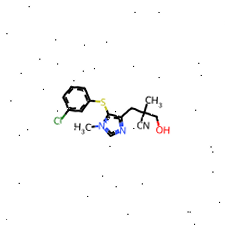 Cn1cnc(CC(C)(C#N)CO)c1Sc1cccc(Cl)c1